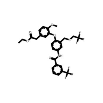 CCOC(=O)Cc1ccc(OC)c(Oc2ccc(NC(=O)c3cccc(C(F)(F)F)c3)cc2CSCC(F)(F)F)c1